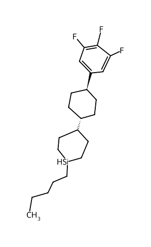 CCCCC[SiH]1CCC([C@H]2CC[C@H](c3cc(F)c(F)c(F)c3)CC2)CC1